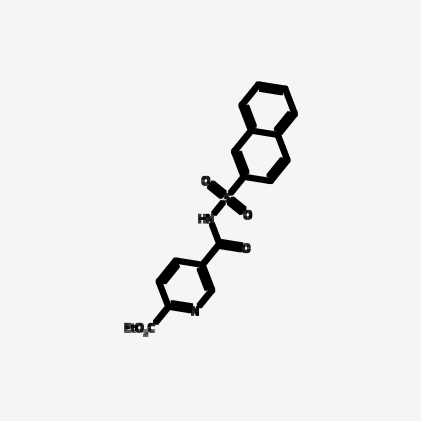 CCOC(=O)c1ccc(C(=O)NS(=O)(=O)c2ccc3ccccc3c2)cn1